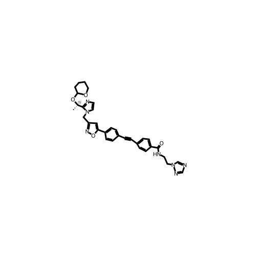 C[C@H](OC1CCCCO1)c1nccn1Cc1cc(-c2ccc(C#Cc3ccc(C(=O)NCCn4cncn4)cc3)cc2)on1